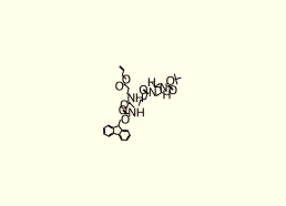 C=CCOC(=O)CCNC(=O)[C@H](CCCC(=O)N1C[C@@H]2C[C@H]1CN2C(=O)OC(C)(C)C)NC(=O)OCC1c2ccccc2-c2ccccc21